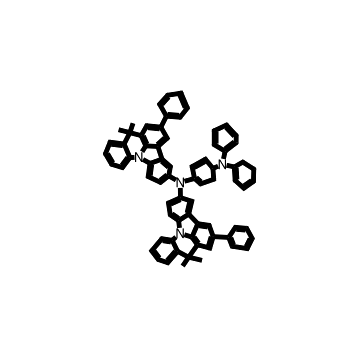 CC1(C)c2ccccc2-n2c3ccc(N(C4=CCC(N(C5=CC=CCC5)c5ccccc5)C=C4)c4ccc5c(c4)c4cc(-c6ccccc6)cc6c4n5-c4ccccc4C6(C)C)cc3c3cc(-c4ccccc4)cc1c32